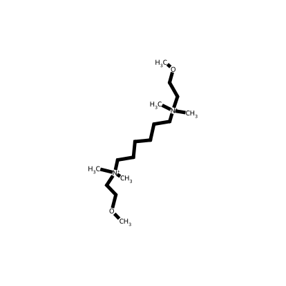 COCC[N+](C)(C)CCCCCC[N+](C)(C)CCOC